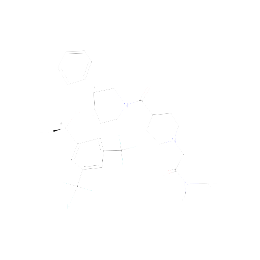 C[C@@H](O[C@H]1CCN(C(=O)C2CCN(CC(=O)N(C)C)CC2)C[C@H]1c1ccccc1)c1cc(C(F)(F)F)cc(C(F)(F)F)c1